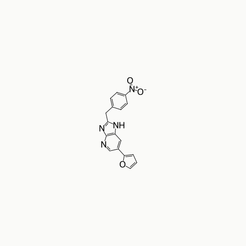 O=[N+]([O-])c1ccc(Cc2nc3ncc(-c4ccco4)cc3[nH]2)cc1